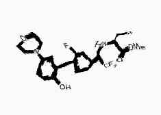 COC(=O)[C@H](CC(C)C)NC(c1ccc(-c2cc(N3CCOCC3)ccc2O)c(F)c1)C(F)(F)F